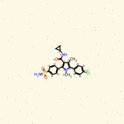 Cc1c(C(=O)NC2CC2)c(-c2ccc(S(N)(=O)=O)cc2)n(C)c1-c1ccc(Cl)cc1